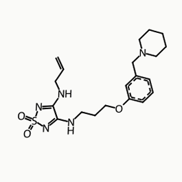 C=CCNC1=NS(=O)(=O)N=C1NCCCOc1cccc(CN2CCCCC2)c1